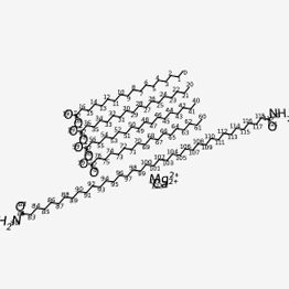 CCCCCCCCCCCCCCCCCC(=O)[O-].CCCCCCCCCCCCCCCCCC(=O)[O-].CCCCCCCCCCCCCCCCCC(=O)[O-].CCCCCCCCCCCCCCCCCC(=O)[O-].NC(=O)CCCCCCCCCCCCCCCCCCCCCCCCCCCCCCCCCCCCC(N)=O.[Ca+2].[Mg+2]